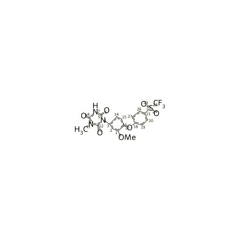 COc1cc(-n2c(=O)[nH]c(=O)n(C)c2=O)ccc1Oc1ccc(S(=O)(=O)C(F)(F)F)cc1